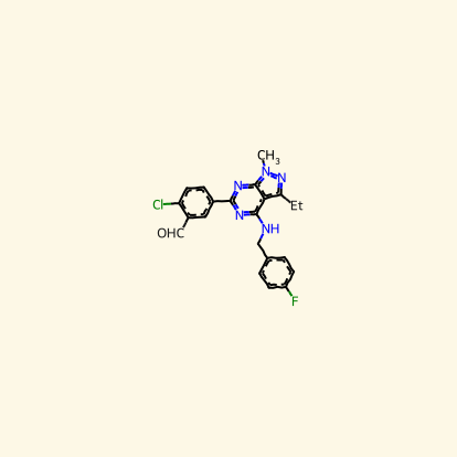 CCc1nn(C)c2nc(-c3ccc(Cl)c(C=O)c3)nc(NCc3ccc(F)cc3)c12